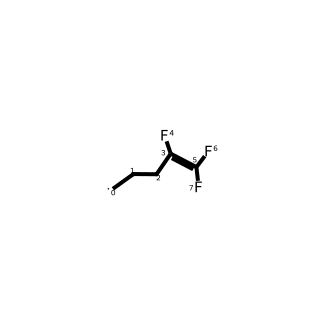 [CH2]CCC(F)=C(F)F